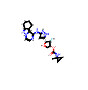 CC1(NC(=O)O[C@@H]2CO[C@H](c3cc(Nc4nccn5nc6c(c45)CCCC6)n[nH]3)[C@@H]2F)CC1